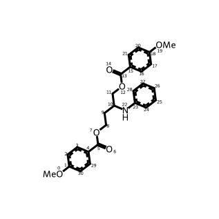 COc1ccc(C(=O)OCCC(COC(=O)c2ccc(OC)cc2)Nc2ccccc2)cc1